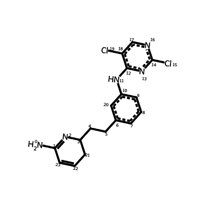 NC1=NC(CCc2cccc(Nc3nc(Cl)ncc3Cl)c2)CC=C1